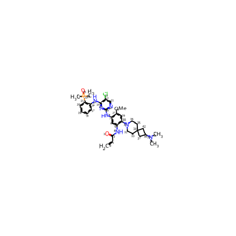 C=CC(=O)Nc1cc(Nc2ncc(Cl)c(Nc3ccccc3P(C)(C)=O)n2)c(OC)cc1N1CCC2(CC1)CC(N(C)C)C2